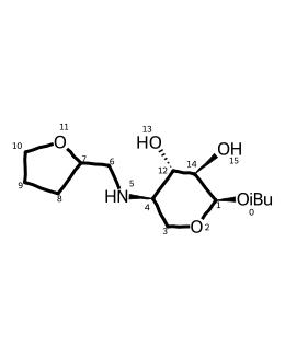 CC(C)CO[C@H]1OC[C@@H](NCC2CCCO2)[C@H](O)[C@H]1O